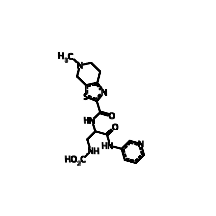 CN1CCc2nc(C(=O)NC(CNC(=O)O)C(=O)Nc3cccnc3)sc2C1